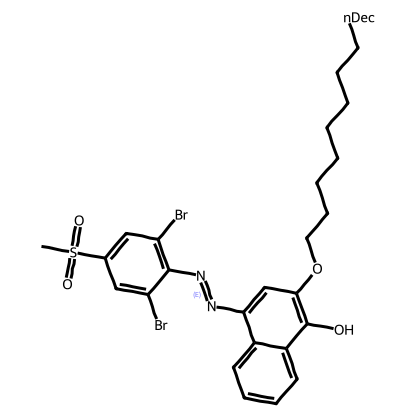 CCCCCCCCCCCCCCCCCCOc1cc(/N=N/c2c(Br)cc(S(C)(=O)=O)cc2Br)c2ccccc2c1O